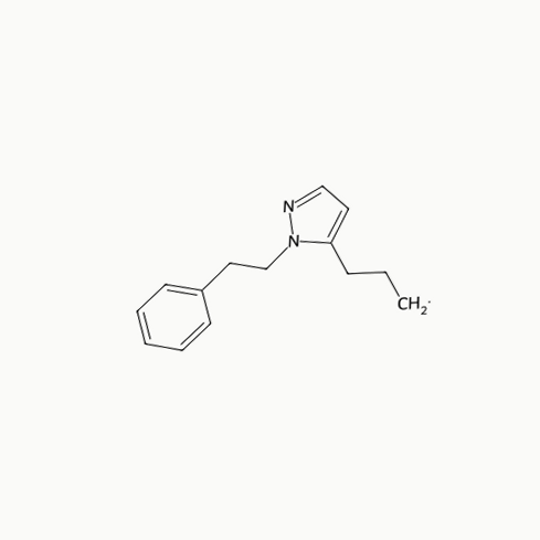 [CH2]CCc1ccnn1CCc1ccccc1